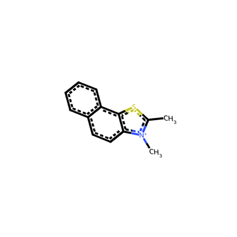 Cc1sc2c3ccccc3ccc2[n+]1C